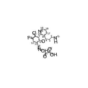 CNCCC(Oc1cc(Cl)c(F)cc1C#N)c1cccnc1.O=C(O)C(=O)O